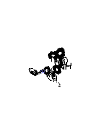 C[C@H]1C/C(=C\C[C@H]2CCOC2)CCN1C(=O)c1ccc(NS(=O)(=O)c2cccc3cccnc23)cc1